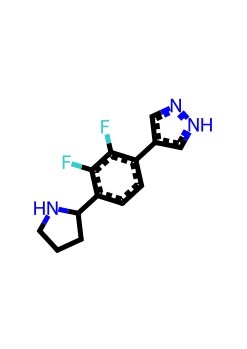 Fc1c(-c2cn[nH]c2)ccc(C2CCCN2)c1F